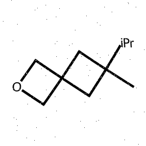 CC(C)C1(C)CC2(COC2)C1